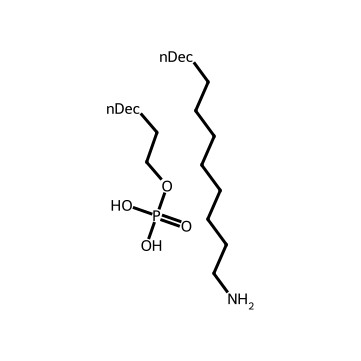 CCCCCCCCCCCCCCCCCCN.CCCCCCCCCCCCOP(=O)(O)O